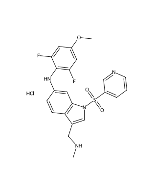 CNCc1cn(S(=O)(=O)c2cccnc2)c2cc(Nc3c(F)cc(OC)cc3F)ccc12.Cl